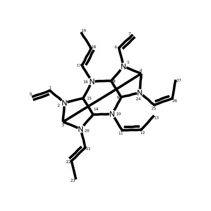 C=CN1C2C3N(C=C)C4C(N(/C=C\C)C(C1N4/C=C/C)N2C=CC)N3/C=C\C